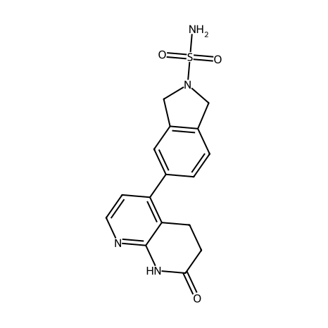 NS(=O)(=O)N1Cc2ccc(-c3ccnc4c3CCC(=O)N4)cc2C1